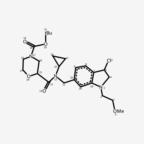 COCCN1CC(Cl)c2ccc(CN(C(=O)C3CN(C(=O)OC(C)(C)C)CCO3)C3CC3)cc21